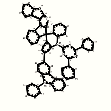 c1ccc(-c2nc(-c3ccccc3)nc(N3c4ccccc4C4(c5ccccc5-c5c4ccc4sc6ccccc6c54)c4ccc(-c5ccc6c(c5)c5ccccc5n6-c5ccccc5)cc43)n2)cc1